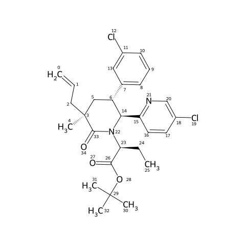 C=CC[C@@]1(C)C[C@H](c2cccc(Cl)c2)[C@@H](c2ccc(Cl)cn2)N([C@@H](CC)C(=O)OC(C)(C)C)C1=O